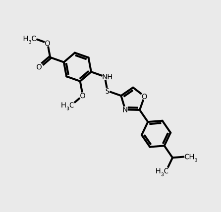 COC(=O)c1ccc(NSc2coc(-c3ccc(C(C)C)cc3)n2)c(OC)c1